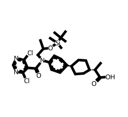 CC(CN(C(=O)c1c(Cl)ncnc1Cl)c1ccc([C@H]2CC[C@H](C(C)C(=O)O)CC2)cc1)O[Si](C)(C)C(C)(C)C